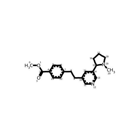 COC(=O)c1ccc(CCc2cncc(C3CCCN3C)c2)cc1